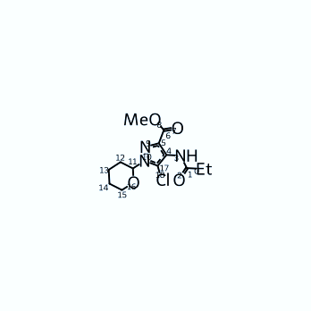 CCC(=O)Nc1c(C(=O)OC)nn(C2CCCCO2)c1Cl